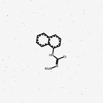 CC/C(=N/NC)Nc1cccc2ccccc12